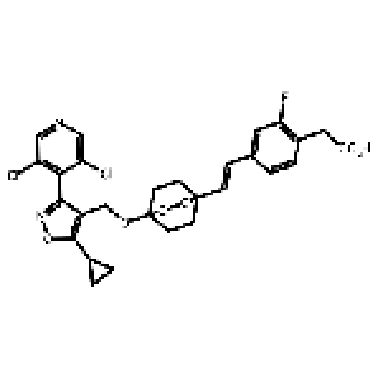 O=C(O)Cc1ccc(/C=C/C23CCC(OCc4c(-c5c(Cl)cncc5Cl)noc4C4CC4)(CC2)CC3)cc1F